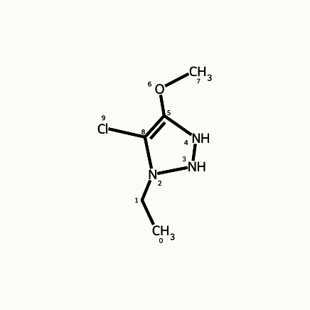 CCN1NNC(OC)=C1Cl